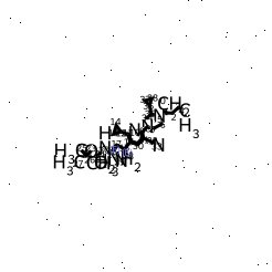 C=C(CCC)N1CCN(c2nc(C3CC3)c(C(/C=C(\N)NC(=O)OC(C)(C)C)=C/N)cc2C#N)CC1C1CC1